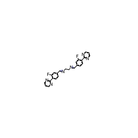 Fc1cc(/C=N/CC/N=C/c2ccc(-c3ncccn3)c(F)c2)ccc1-c1ncccn1